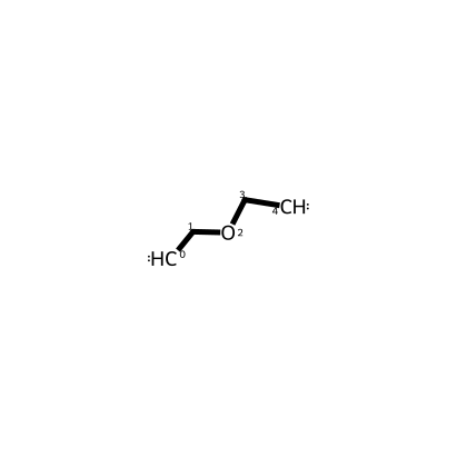 [CH]COC[CH]